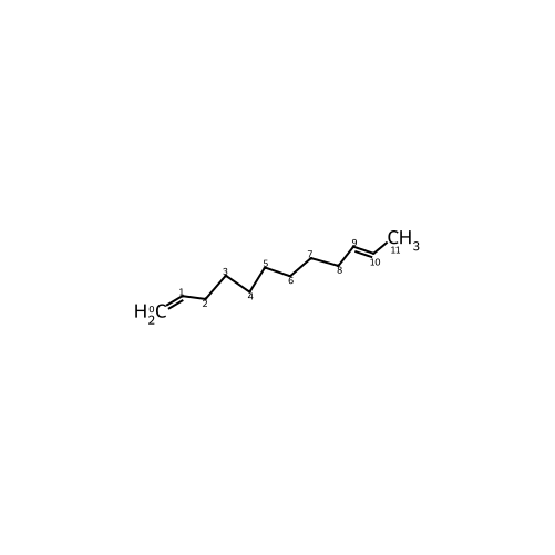 C=CCCCCCCC/C=C/C